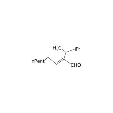 CCCCCCC=C(C=O)C(C)C(C)C